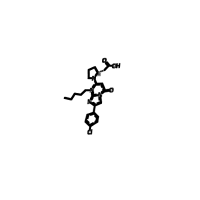 CCCCCn1c(N2CCC[C@@H]2CC(=O)O)cc(=O)n2cc(-c3ccc(Cl)cc3)nc12